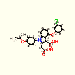 CC(C)Oc1ccc(-n2c(CC(=O)O)c(C(=O)O)c3c(Oc4cccc(Cl)c4)cccc32)cc1